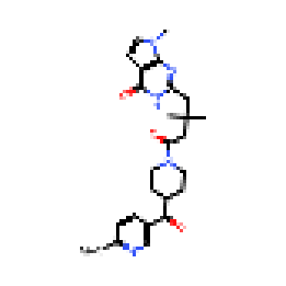 COc1ccc(C(=O)C2CCN(C(=O)CC(C)(C)Cc3nc4c(ccn4C)c(=O)[nH]3)CC2)cn1